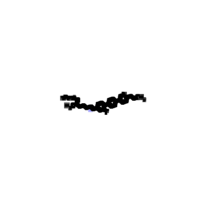 C=CCc1ccc(-c2ccc(-c3ccc(/C=C/CCCC(C)OCCCCC)cc3F)cc2)cn1